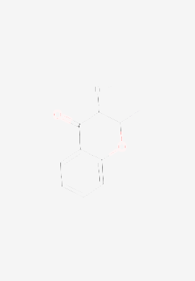 CCCC1C(=O)c2ccccc2OC1I